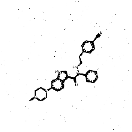 CN1CCN(c2ccc3c(C(=O)[C@H](NCCc4ccc(C#N)cc4)c4ccccc4)c[nH]c3c2)CC1